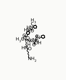 Cc1ccccc1NC(=O)Nc1ccc(CC(=O)N(C)[C@@H](CCCCNC(=O)CCCCCN)C(=O)NCC[C@H](NC(=O)[C@@H]2CCCN2Cc2ccccc2)C(=O)O)cc1